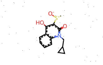 C[S+]([O-])c1c(O)c2ccccc2n(CC2CC2)c1=O